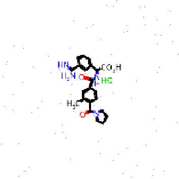 Cc1cc(C(=O)NC(C(=O)O)c2cccc(C(=N)N)c2)ccc1C(=O)N1CCCC1.Cl